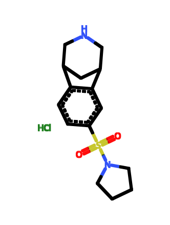 Cl.O=S(=O)(c1ccc2c(c1)C1CNCC2C1)N1CCCC1